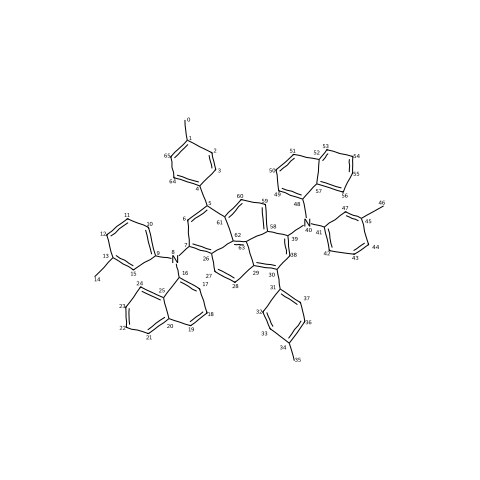 Cc1ccc(-c2cc(N(c3cccc(C)c3)c3cccc4ccccc34)c3ccc4c(-c5ccc(C)cc5)cc(N(c5cccc(C)c5)c5cccc6ccccc56)c5ccc2c3c45)cc1